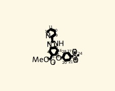 COC(=O)c1cc2nc(-c3ccccn3)[nH]c2cc1Oc1ccc(S(C)(=O)=O)cc1